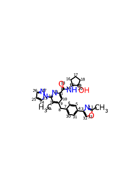 Cc1nc(-c2ccc(Cc3cc(C(=O)N[C@H]4CCC[C@@H]4O)nc(-n4cccn4)c3C)cc2)co1